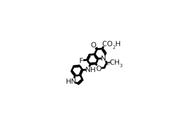 C[C@H]1COc2c(Nc3cccc4[nH]ccc34)c(F)cc3c(=O)c(C(=O)O)cn1c23